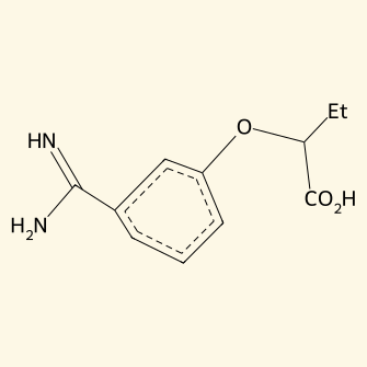 CCC(Oc1cccc(C(=N)N)c1)C(=O)O